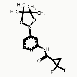 CC1(C)OB(c2ccnc(NC(=O)C3CC3(F)F)c2)OC1(C)C